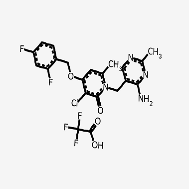 Cc1ncc(Cn2c(C)cc(OCc3ccc(F)cc3F)c(Cl)c2=O)c(N)n1.O=C(O)C(F)(F)F